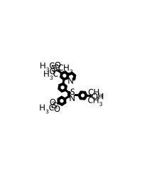 CC(C)(O)c1ccc(-c2nc(-c3ccc(S(C)(=O)=O)cc3)c(-c3cccc(-c4cc(C(C)(C)S(C)(=O)=O)cc5cccnc45)c3)s2)cc1